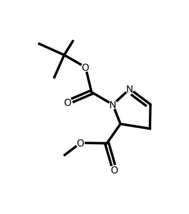 COC(=O)C1CC=NN1C(=O)OC(C)(C)C